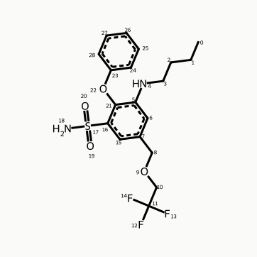 CCCCNc1cc(COCC(F)(F)F)cc(S(N)(=O)=O)c1Oc1ccccc1